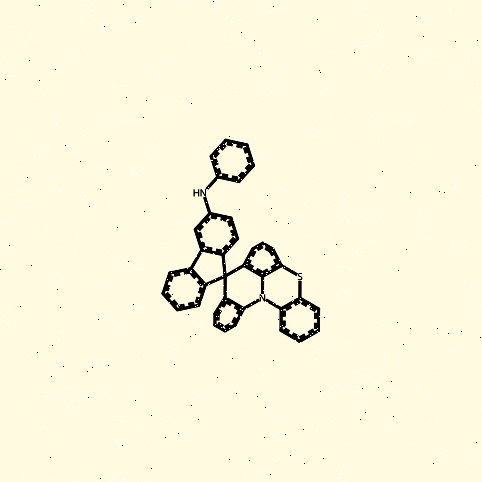 c1ccc(Nc2ccc3c(c2)-c2ccccc2C32c3ccccc3N3c4ccccc4Sc4cccc2c43)cc1